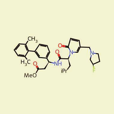 COC(=O)C[C@H](NC(=O)[C@H](CC(C)C)n1cc(CN2CC[C@@H](F)C2)ccc1=O)c1cccc(-c2c(C)cccc2C)c1